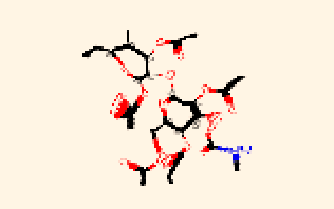 CC[C@@H]1O[C@H](OC(C)=O)[C@@H](O[C@H]2O[C@H](COC(C)=O)[C@@H](OC(C)=O)[C@H](OC(=O)NC)[C@@H]2OC(C)=O)[C@@H](OC(C)=O)[C@@H]1C